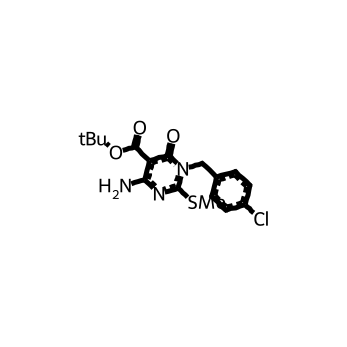 CSc1nc(N)c(C(=O)OC(C)(C)C)c(=O)n1Cc1ccc(Cl)cc1